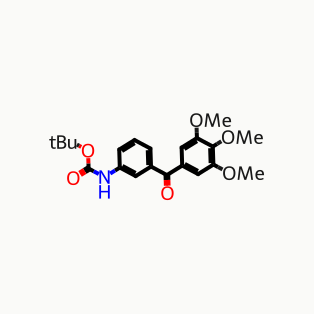 COc1cc(C(=O)c2cccc(NC(=O)OC(C)(C)C)c2)cc(OC)c1OC